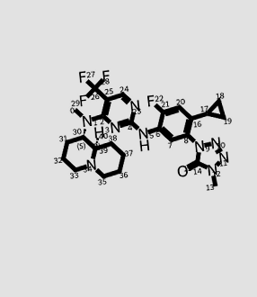 CN(c1nc(Nc2cc(-n3nnn(C)c3=O)c(C3CC3)cc2F)ncc1C(F)(F)F)[C@H]1CCCN2CCCC[C@H]12